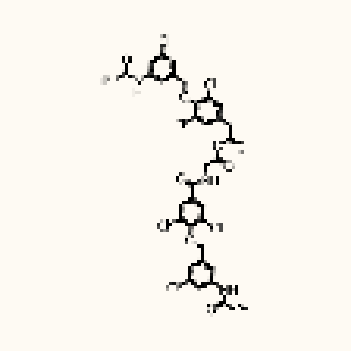 CC(C)C(=O)Nc1cc(Cl)cc(COc2c(Cl)cc(CC(=O)OC(=O)CNC(=O)c3cc(Cl)c(OCc4cc(Cl)cc(NC(=O)C(C)C)c4)c(Cl)c3)cc2Cl)c1